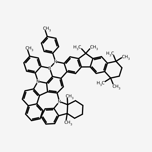 Cc1ccc(N2B3c4cc(C)ccc4-n4c5ccc6ccccc6c5c5c(N6c7ccccc7C7(C)CCCCC67C)cc(c3c54)-c3cc4c(cc32)C(C)(C)c2cc3c(cc2-4)C(C)(C)CCC3(C)C)cc1